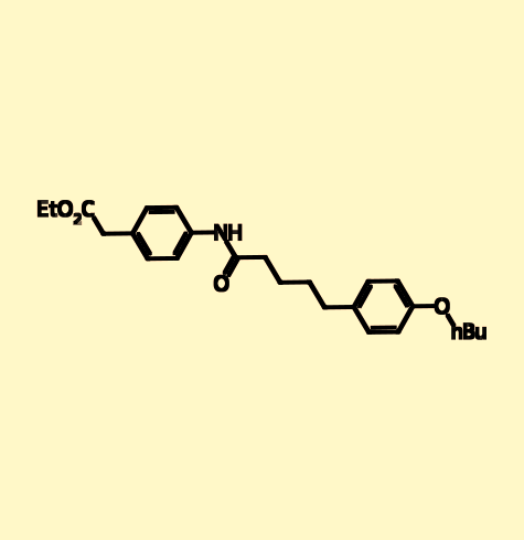 CCCCOc1ccc(CCCCC(=O)Nc2ccc(CC(=O)OCC)cc2)cc1